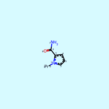 CC(C)n1cccc1C(N)=O